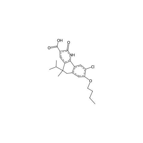 CCCCOc1cc2c(cc1Cl)-c1[nH]c(=O)c(C(=O)O)cc1C(C)(C(C)C)C2